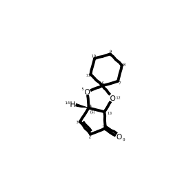 O=C1C=C[C@@H]2OC3(CCCCC3)OC12